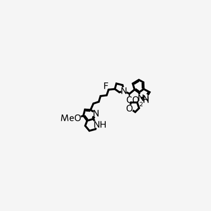 COc1cc(CCCC[C@@H](F)C2CCN([C@H](C(=O)O)c3cccc4cnn([C@H]5CCOC5)c34)C2)nc2c1CCCN2